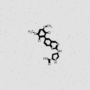 COc1cc(OC)c(Cl)c(-c2ccc3nc(N[C@@H]4CN[C@H](C(=O)O)C4)ncc3c2)c1Cl